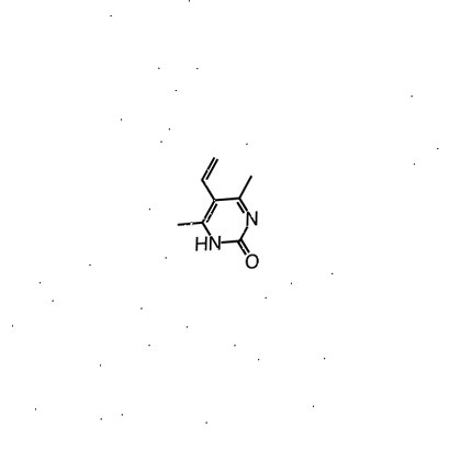 C=Cc1c(C)nc(=O)[nH]c1C